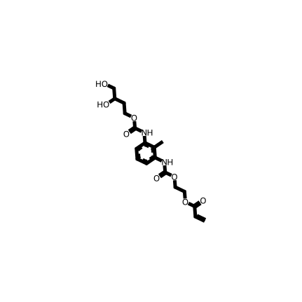 C=CC(=O)OCCOC(=O)Nc1cccc(NC(=O)OCCC(O)CO)c1C